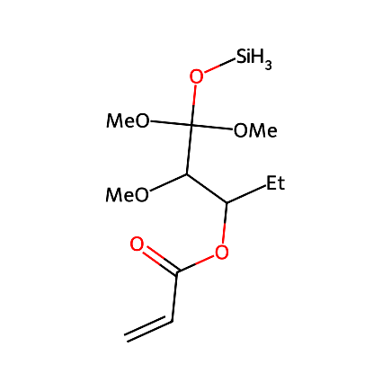 C=CC(=O)OC(CC)C(OC)C(OC)(OC)O[SiH3]